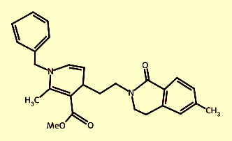 COC(=O)C1=C(C)N(Cc2ccccc2)C=CC1CCN1CCc2cc(C)ccc2C1=O